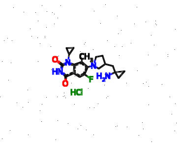 Cc1c(N2CCC(CC3(N)CC3)C2)c(F)cc2c(=O)[nH]c(=O)n(C3CC3)c12.Cl